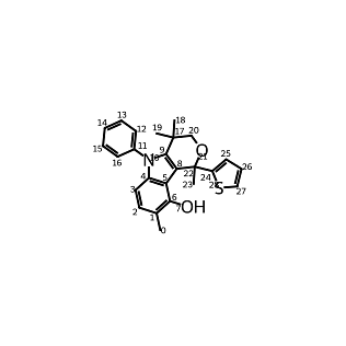 Cc1ccc2c(c1O)c1c(n2-c2ccccc2)C(C)(C)COC1(C)c1cccs1